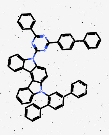 c1ccc(-c2ccc(-c3nc(-c4ccccc4)nc(-n4c5ccccc5c5c6c7ccccc7n(-c7cc(-c8ccccc8)ccc7-c7ccccc7)c6ccc54)n3)cc2)cc1